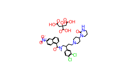 CN(CC(CCN1CCC(N2CCCNC2=O)CC1)c1ccc(Cl)c(Cl)c1)C(=O)c1cccc2cc([N+](=O)[O-])ccc12.O=C(O)CC(O)(CC(=O)O)C(=O)O